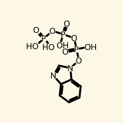 O=P(O)(O)OP(=O)(O)OP(=O)(O)On1cnc2ccccc21